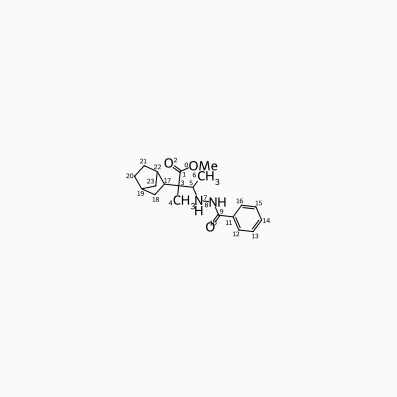 COC(=O)C(C)(C(C)NNC(=O)c1ccccc1)C1CC2CCC1C2